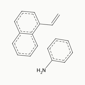 C=Cc1cccc2ccccc12.Nc1ccccc1